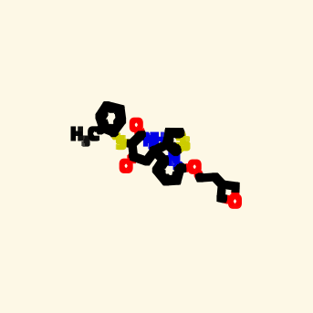 Cc1ccccc1SC1C(=O)CC(c2ccsc2)(c2cccc(OCCC3COC3)n2)NC1=O